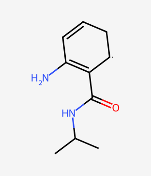 CC(C)NC(=O)C1=C(N)C=CC[CH]1